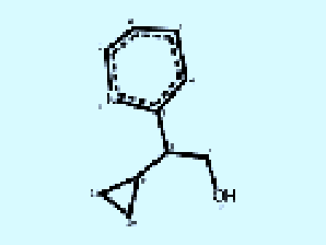 OCC(c1ccccn1)C1CC1